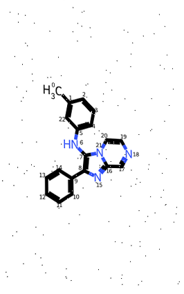 Cc1cccc(Nc2c(-c3ccccc3)nc3cnccn23)c1